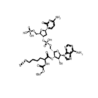 CC(C)(C)OC(=O)NC(CCCCN=[N+]=[N-])C(=O)O[C@H]1[C@@H](O)[C@H](n2cnc3c([AsH2])ncnc32)O[C@H]1COP(=O)(O)O[C@H]1C[C@H](n2ccc(N)nc2=O)O[C@@H]1COP(=O)(O)O